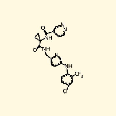 O=C(NC1(C(=O)NCc2ccc(Nc3ccc(Cl)cc3C(F)(F)F)cn2)CC1)c1ccnnc1